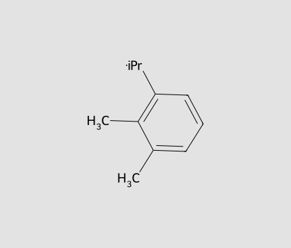 C[C](C)c1cccc(C)c1C